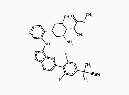 COC(=O)N(C)[C@@H]1[C@H](N)C[C@H](c2ccncc2Nc2ncc3ccc(-c4c(F)cc(C(C)(C)C#N)cc4F)nn23)C[C@@H]1C